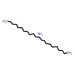 CCCCCCCCCCCCCCCCCCCCCC.N